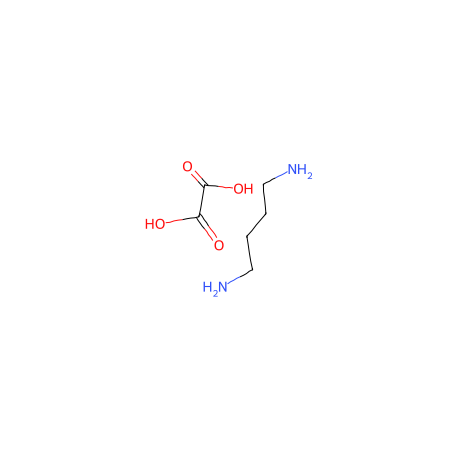 NCCCCN.O=C(O)C(=O)O